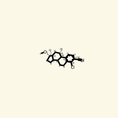 CO[C@H]1CCC2C3CCc4c(ccc(C#N)c4Cl)C3[C@@H](C)C[C@@]21C